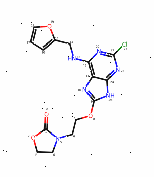 O=C1OCCN1CCOc1nc2c(NCc3ccco3)nc(Cl)nc2[nH]1